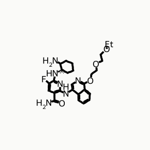 CCOCCOCCOc1ncc(Nc2nc(N[C@@H]3CCCCC3N)c(F)cc2C(N)=O)c2ccccc12